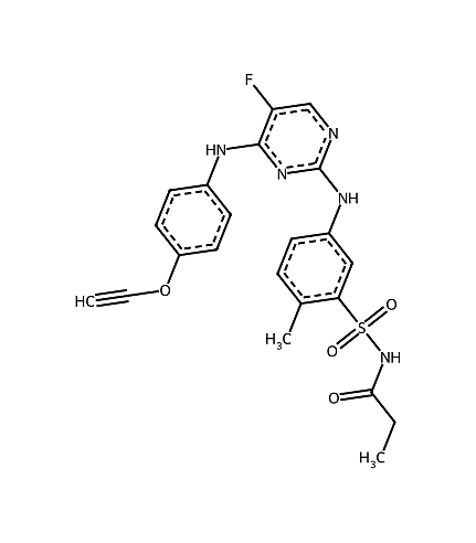 C#COc1ccc(Nc2nc(Nc3ccc(C)c(S(=O)(=O)NC(=O)CC)c3)ncc2F)cc1